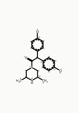 CC1CN(C(=O)C(c2ccc(Cl)cc2)c2ccc(Cl)cc2)CC(C)N1